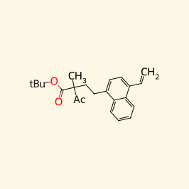 C=Cc1ccc(CCC(C)(C(C)=O)C(=O)OC(C)(C)C)c2ccccc12